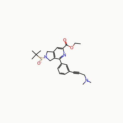 CCOC(=O)c1cc2c(c(-c3cccc(C#CCN(C)C)c3)n1)CN([S@@+]([O-])C(C)(C)C)C2